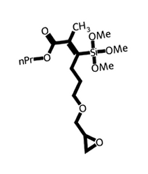 CCCOC(=O)C(C)=C(CCCOCC1CO1)[Si](OC)(OC)OC